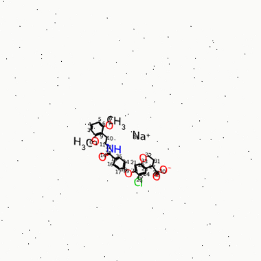 COc1cccc(OC)c1CCNC(=O)c1ccc(Oc2cc3c(cc2Cl)C(C(=O)[O-])CCO3)cc1.[Na+]